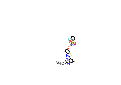 COCc1cnc2c(-c3nc4c(C)cc(OCCNS(=O)(=O)c5ccccc5F)cc4s3)cc(C)cc2n1